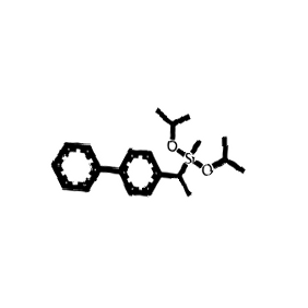 CC(C)O[Si](C)(OC(C)C)C(C)c1ccc(-c2ccccc2)cc1